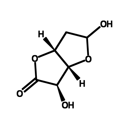 O=C1O[C@@H]2CC(O)O[C@@H]2[C@H]1O